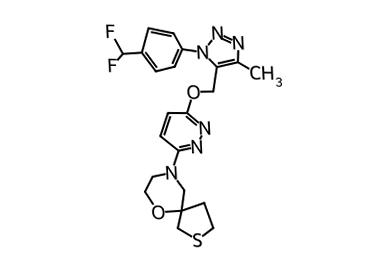 Cc1nnn(-c2ccc(C(F)F)cc2)c1COc1ccc(N2CCOC3(CCSC3)C2)nn1